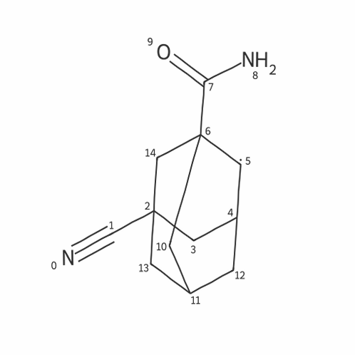 N#CC12CC3[CH]C(C(N)=O)(CC(C3)C1)C2